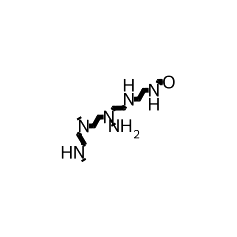 CNCCN(C)CCN(N)CCNCCNC=O